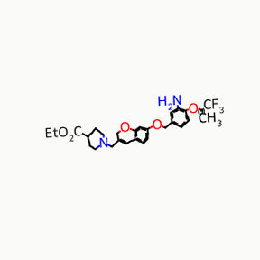 CCOC(=O)C1CCN(CC2=Cc3ccc(OCc4ccc(O[C@@H](C)C(F)(F)F)c(N)c4)cc3OC2)CC1